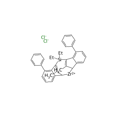 CC[Si]1(CC)C2=C(C)[CH]([Zr+2][CH]3C(C)=C1c1c(-c4ccccc4)cccc13)c1cccc(-c3ccccc3)c12.[Cl-].[Cl-]